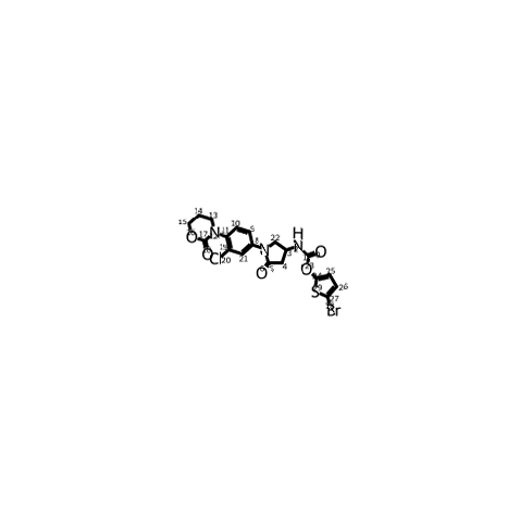 O=C(NC1CC(=O)N(c2ccc(N3CCCOC3=O)c(Cl)c2)C1)Oc1ccc(Br)s1